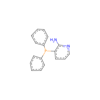 Nc1ncccc1P(c1ccccc1)c1ccccc1